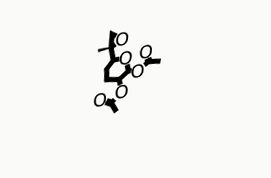 CC(=O)OC1CCC([C@]2(C)CO2)OC1OC(C)=O